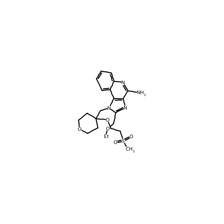 CCOCc1nc2c(N)nc3ccccc3c2n1CC1(OCCS(C)(=O)=O)CCOCC1